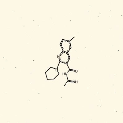 CC(=N)NC(=O)c1cc2cc(C)ccc2nc1N1CCCCC1